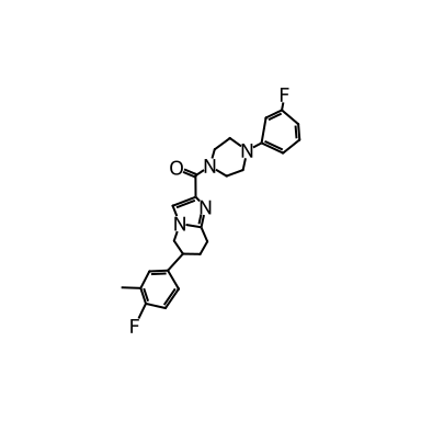 Cc1cc(C2CCc3nc(C(=O)N4CCN(c5cccc(F)c5)CC4)cn3C2)ccc1F